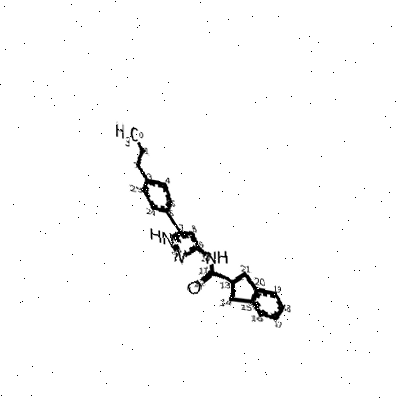 CCCc1ccc(-c2cc(NC(=O)C3Cc4ccccc4C3)n[nH]2)cc1